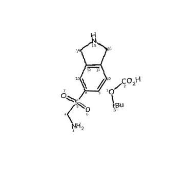 CC(C)(C)OC(=O)O.NCS(=O)(=O)c1ccc2c(c1)CNC2